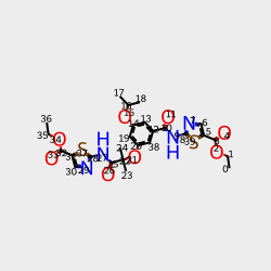 CCOC(=O)c1cnc(NC(=O)c2cc(OC(C)C)cc(OC(C)(C)C(=O)Nc3ncc(C(=O)OCC)s3)c2)s1